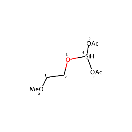 COCCO[SiH](OC(C)=O)OC(C)=O